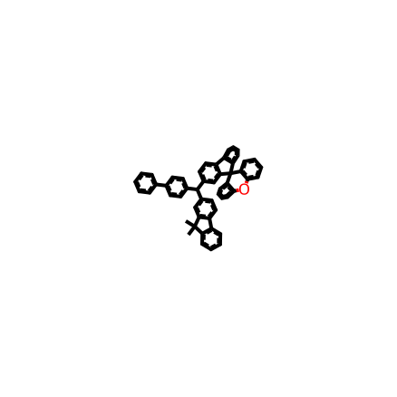 CC1(C)c2ccccc2-c2ccc(C(c3ccc(-c4ccccc4)cc3)c3ccc4c(c3)C3(c5ccccc5Oc5ccccc53)c3ccccc3-4)cc21